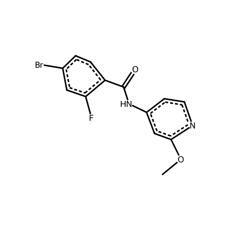 COc1cc(NC(=O)c2ccc(Br)cc2F)ccn1